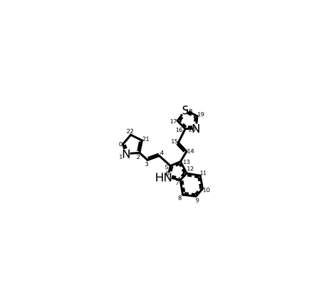 C1=NC(/C=C/c2[nH]c3ccccc3c2/C=C/c2cscn2)=CC1